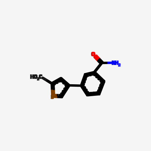 NC(=O)c1cccc(-c2csc(C(=O)O)c2)c1